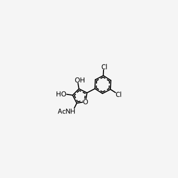 CC(=O)Nc1oc(-c2cc(Cl)cc(Cl)c2)c(O)c1O